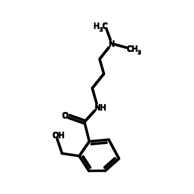 CN(C)CCCNC(=O)c1ccccc1CO